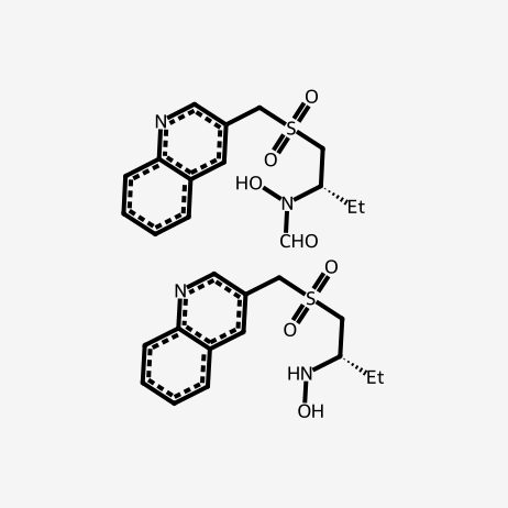 CC[C@@H](CS(=O)(=O)Cc1cnc2ccccc2c1)N(O)C=O.CC[C@@H](CS(=O)(=O)Cc1cnc2ccccc2c1)NO